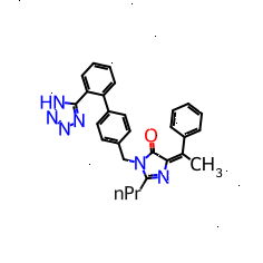 CCCC1=N/C(=C(\C)c2ccccc2)C(=O)N1Cc1ccc(-c2ccccc2-c2nnn[nH]2)cc1